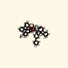 Cc1cc(N(c2ccc(-c3ccccc3)cc2)c2cccc3c2oc2ccccc23)ccc1-c1cccc2c1C1(c3cc(F)ccc3-c3ccc(C(C)(C)C)cc31)c1ccccc1-2